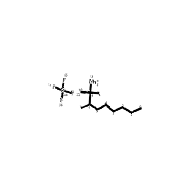 CCCCCCC(C)C(C)(C)[NH3+].F[B-](F)(F)F